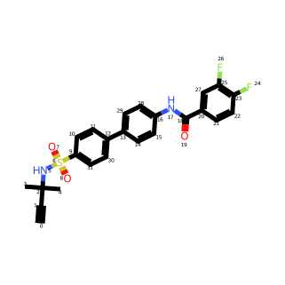 C#CC(C)(C)NS(=O)(=O)c1ccc(-c2ccc(NC(=O)c3ccc(F)c(F)c3)cc2)cc1